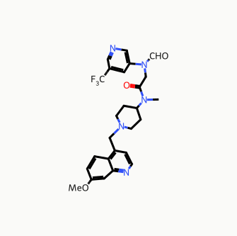 COc1ccc2c(CN3CCC(N(C)C(=O)CN(C=O)c4cncc(C(F)(F)F)c4)CC3)ccnc2c1